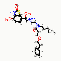 CCCCN(CCNCC(O)c1ccc(O)c2[nH]c(=O)sc12)C(=O)CCOCCc1ccccc1